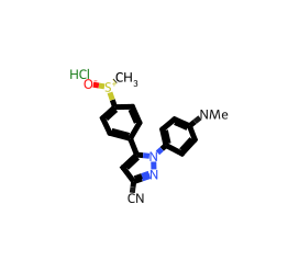 CNc1ccc(-n2nc(C#N)cc2-c2ccc([S+](C)[O-])cc2)cc1.Cl